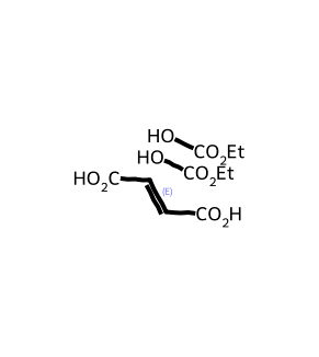 CCOC(=O)O.CCOC(=O)O.O=C(O)/C=C/C(=O)O